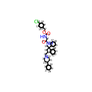 O=C(CNC(=O)OCc1ccc(Cl)cc1)NCC(CCCN1CCC(c2ccccc2)CC1)(c1ccccc1)c1ccccc1